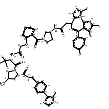 Cc1ccc(C2=NC(CC(=O)N[C@H]3CCN(C(=O)c4ccccc4OCC(=O)N[C@H](C(=O)N4CC(O)C[C@H]4C(=O)NCc4ccc(-c5scnc5C)cc4)C(C)(C)C)C3)c3nnc(C)n3-c3sc(C)c(C)c32)cc1